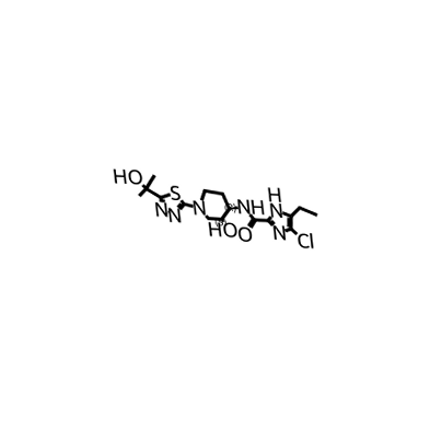 CCc1[nH]c(C(=O)N[C@@H]2CCN(c3nnc(C(C)(C)O)s3)C[C@@H]2O)nc1Cl